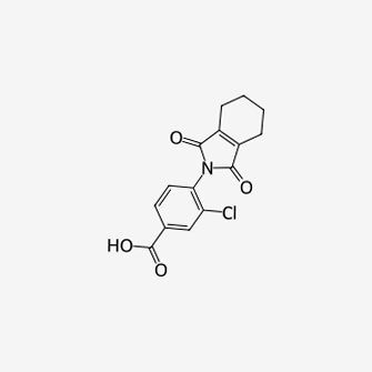 O=C(O)c1ccc(N2C(=O)C3=C(CCCC3)C2=O)c(Cl)c1